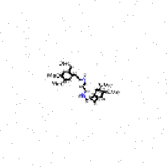 COc1cc(CC=O)c(CCN(C)CCCN(C)C[C@H]2Cc3cc(OC)c(OC)cc32)cc1OC